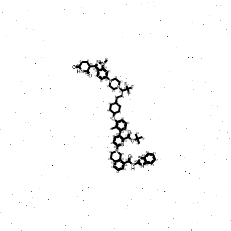 Cc1c(OC2CCC(CC[C@@H](N3CCN(c4ccc5c(C6CCC(=O)NC6=O)nn(C)c5c4)CC3)C(F)(F)F)CC2)cccc1-c1ccc(N2CCc3cccc(C(=O)Nc4nc5ccccc5s4)c3C2)nc1C(=O)OC(C)(C)C